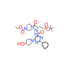 CCOC(=O)N1CCN(C(=O)C(CCC(=O)OC(C)(C)C)NC(=O)c2cc(N3CCC(O)CC3)nc(-c3ccccc3)n2)CC1